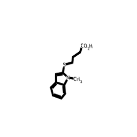 Cn1c(SCCCC(=O)O)cc2ccccc21